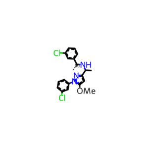 COc1cc(C(C)N[C@H](C)c2cccc(Cl)c2)nn1-c1cccc(Cl)c1